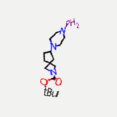 CC(C)(C)OC(=O)N1CC2(CC[C@@H](N3CCN(P)CC3)C2)C1